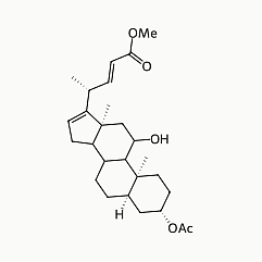 COC(=O)/C=C/[C@@H](C)C1=CCC2C3CC[C@@H]4C[C@@H](OC(C)=O)CC[C@]4(C)C3C(O)C[C@]12C